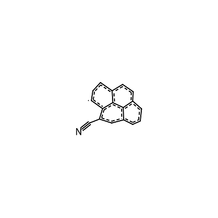 N#Cc1cc2cccc3ccc4cc[c]c1c4c32